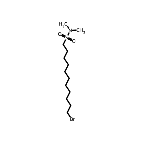 CN(C)S(=O)(=O)CCCCCCCCCCCBr